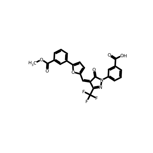 COC(=O)c1cccc(-c2ccc(/C=C3\C(=O)N(c4cccc(C(=O)O)c4)N=C3C(F)(F)F)o2)c1